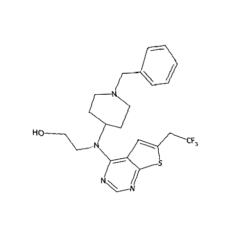 OCCN(c1ncnc2sc(CC(F)(F)F)cc12)C1CCN(Cc2ccccc2)CC1